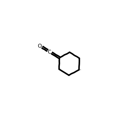 O=C=C1CC[CH]CC1